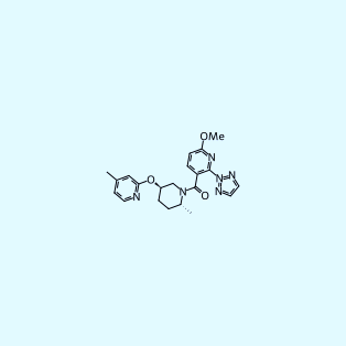 COc1ccc(C(=O)N2C[C@H](Oc3cc(C)ccn3)CC[C@H]2C)c(-n2nccn2)n1